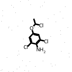 CC(Cl)Oc1cc(Cl)c(N)c(Cl)c1